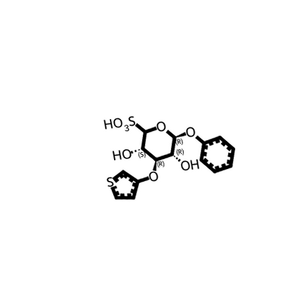 O=S(=O)(O)C1O[C@@H](Oc2ccccc2)[C@H](O)[C@@H](Oc2ccsc2)[C@@H]1O